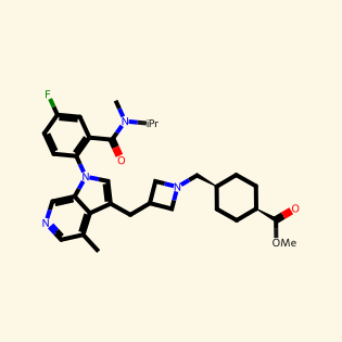 COC(=O)[C@H]1CC[C@@H](CN2CC(Cc3cn(-c4ccc(F)cc4C(=O)N(C)C(C)C)c4cncc(C)c34)C2)CC1